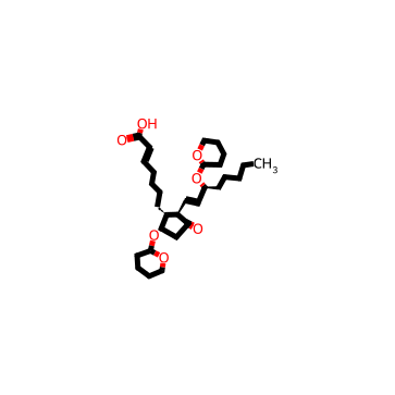 CCCCC[C@@H](/C=C/[C@H]1C(=O)C[C@H](OC2CCCCO2)[C@@H]1CCCC/C=C/C(=O)O)OC1CCCCO1